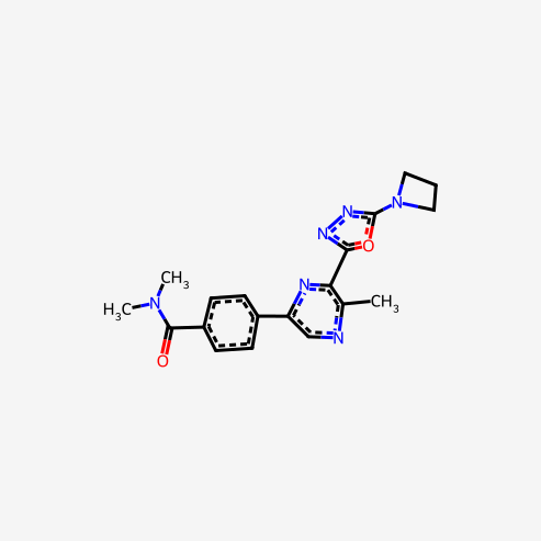 Cc1ncc(-c2ccc(C(=O)N(C)C)cc2)nc1-c1nnc(N2CCC2)o1